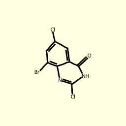 O=c1[nH]c(Cl)nc2c(Br)cc(Cl)cc12